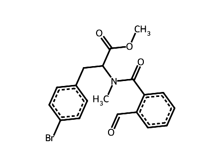 COC(=O)C(Cc1ccc(Br)cc1)N(C)C(=O)c1ccccc1C=O